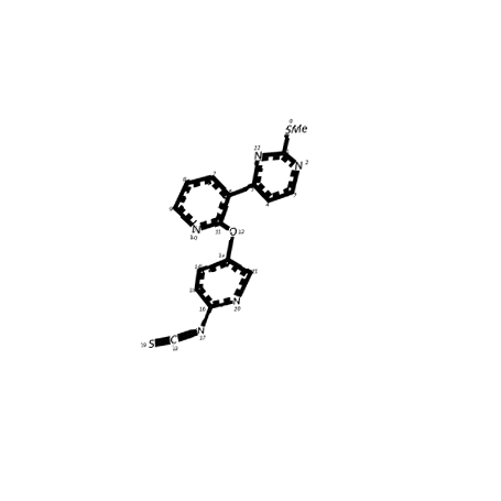 CSc1nccc(-c2cccnc2Oc2ccc(N=C=S)nc2)n1